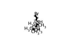 CC(C)(C)OC(=O)C(C)(C)NCCCBr